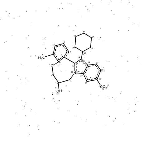 Cc1cccc2c1OCC(O)Cn1c-2c(C2CCCCC2)c2ccc(C(=O)O)cc21